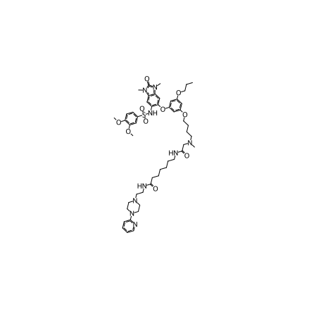 CCCOc1cc(OCCCCN(C)CC(=O)NCCCCCCC(=O)NCCN2CCN(c3ccccn3)CC2)cc(Oc2cc3c(cc2NS(=O)(=O)c2ccc(OC)c(OC)c2)n(C)c(=O)n3C)c1